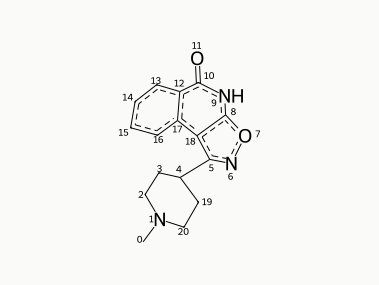 CN1CCC(c2noc3[nH]c(=O)c4ccccc4c23)CC1